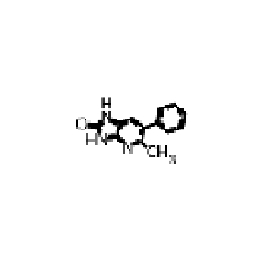 Cc1nc2[nH]c(=O)[nH]c2cc1-c1ccccc1